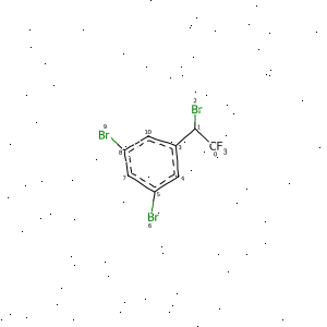 FC(F)(F)C(Br)c1cc(Br)cc(Br)c1